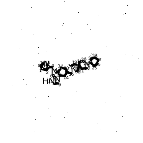 c1ccc(CN(Cc2ncc[nH]2)C2CCC(CN3CCC4(CCN(C5CCCCC5)CC4)C3)CC2)nc1